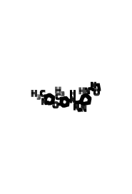 Cc1ccc(Oc2ccc(Nc3ncnc4ccc(NC5=NCCO5)cc34)cc2C)cn1